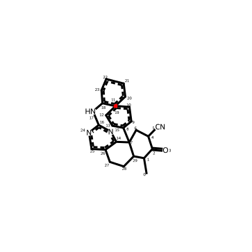 CC1C(=O)C(C#N)CC2(c3ccccc3)c3nc(Nc4ccccc4)ncc3CCC12